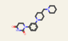 O=C1CCN(c2cccc(N3CCC(CN4CCCCC4)CC3)c2)C(=O)N1